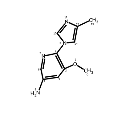 COc1cc(N)cnc1-n1cnc(C)c1